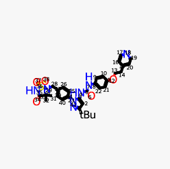 CC(C)(C)c1cc(NC(=O)Nc2ccc(OCCc3ccncc3)cc2)n(-c2ccc(CN3C(C)(C)C(=O)NS3(=O)=O)cc2)n1